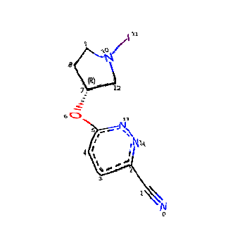 N#Cc1ccc(O[C@@H]2CCN(I)C2)nn1